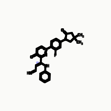 CC1(C)CC(=O)N(c2ccc(-n3ccc(=O)c(/C(=C/C=N)Nc4ccccc4)n3)c(F)c2)C1